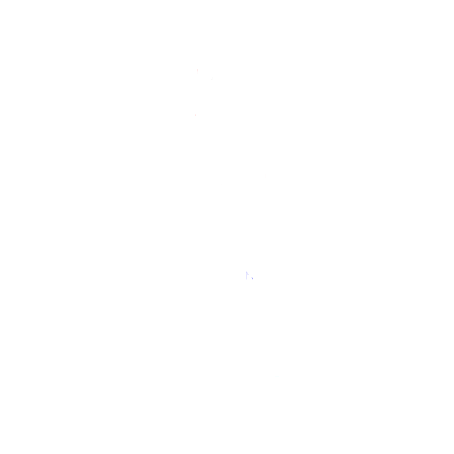 COC(=O)COc1cc(OC)c(SCc2ccc(-c3ccc(C(F)(F)F)cc3)nc2)cc1C